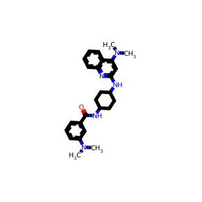 CN(C)c1cccc(C(=O)NC2CCC(Nc3cc(N(C)C)c4ccccc4n3)CC2)c1